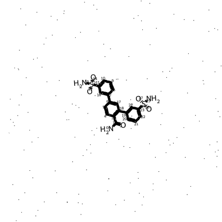 NC(=O)c1ccc(-c2cccc(S(N)(=O)=O)c2)cc1-c1cccc(S(N)(=O)=O)c1